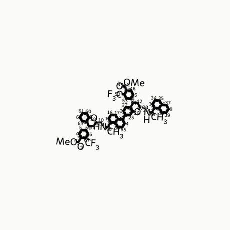 COC(=O)c1ccc([C@H]2C[C@H](CN[C@H](C)c3cccc4c(-c5ccc6c(c5)O[C@@H](CN[C@H](C)c5cccc7ccccc57)C[C@H]6c5ccc(C(=O)OC)c(C(F)(F)F)c5)cccc34)Oc3ccccc32)cc1C(F)(F)F